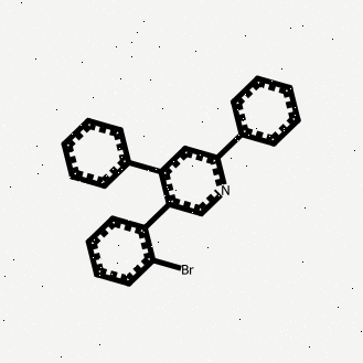 Brc1ccccc1-c1cnc(-c2ccccc2)cc1-c1ccccc1